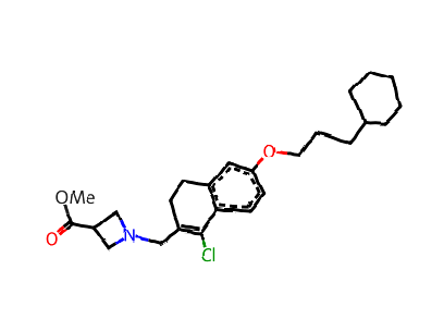 COC(=O)C1CN(CC2=C(Cl)c3ccc(OCCCC4CCCCC4)cc3CC2)C1